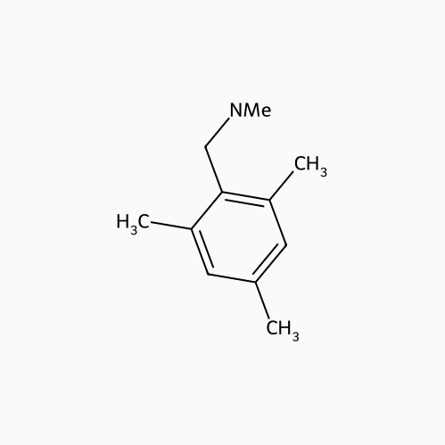 CNCc1c(C)cc(C)cc1C